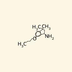 CCCCOc1ccc2c(c1)C(N)CC2(C)C